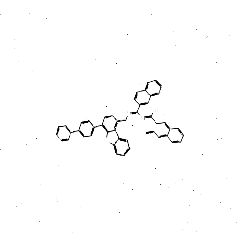 C=C/C=c1/cccc/c1=C/C/C(N)=N/C(=N\Cc1ccc(-c2ccc(-c3ccccc3)cc2)c2oc3ccccc3c12)c1ccc2ccccc2c1